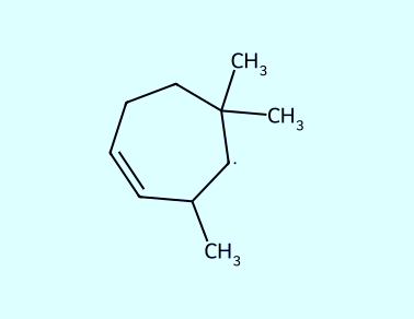 CC1[CH]C(C)(C)CCC=C1